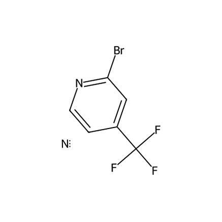 FC(F)(F)c1ccnc(Br)c1.[N]